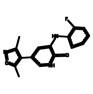 Cc1noc(C)c1-c1c[nH]c(=O)c(Nc2ccccc2F)c1